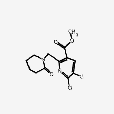 COC(=O)c1cc(Cl)c(Cl)nc1CN1CCCCC1=O